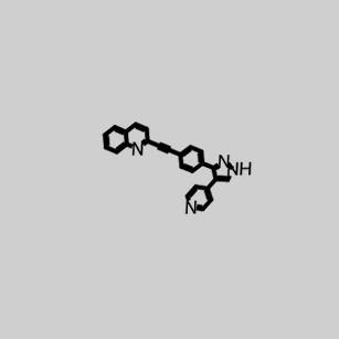 C(#Cc1ccc2ccccc2n1)c1ccc(-c2n[nH]cc2-c2ccncc2)cc1